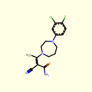 CC(=C(C#N)C(N)=S)N1CCCN(c2ccc(F)c(Cl)c2)CC1